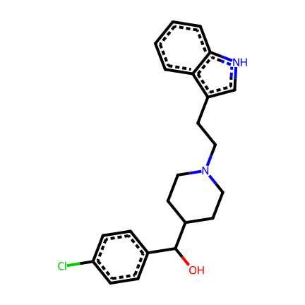 OC(c1ccc(Cl)cc1)C1CCN(CCc2c[nH]c3ccccc23)CC1